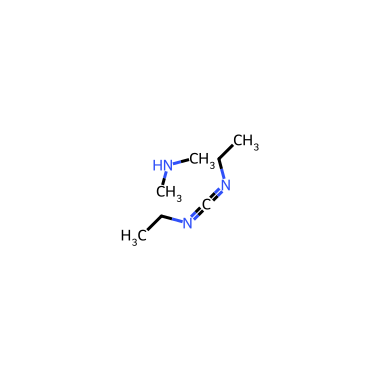 CCN=C=NCC.CNC